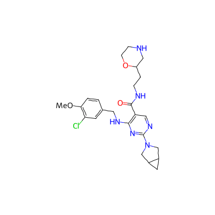 COc1ccc(CNc2nc(N3CC4CC4C3)ncc2C(=O)NCCC2CNCCO2)cc1Cl